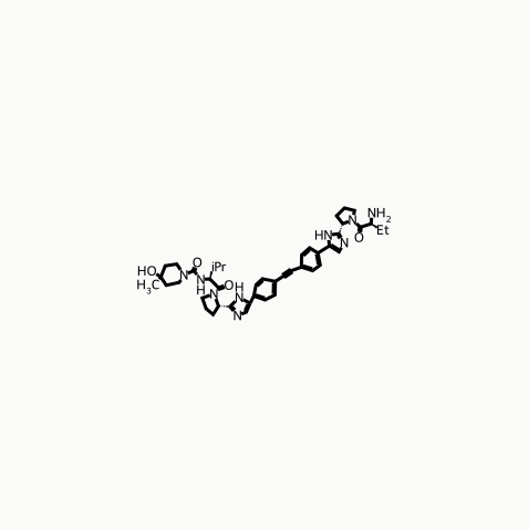 CC[C@H](N)C(=O)N1CCC[C@H]1c1ncc(-c2ccc(C#Cc3ccc(-c4cnc([C@@H]5CCCN5C(=O)[C@@H](NC(=O)N5CCC(C)(O)CC5)C(C)C)[nH]4)cc3)cc2)[nH]1